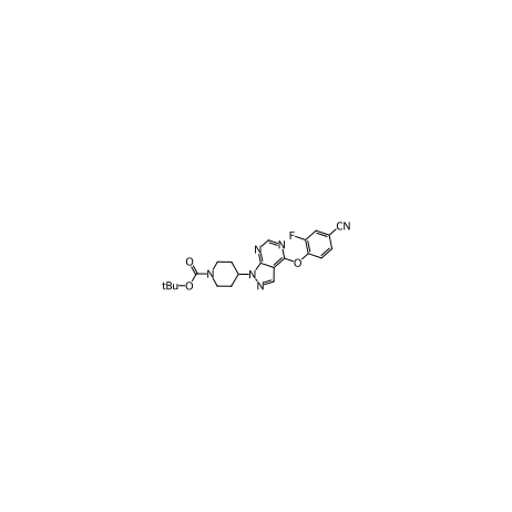 CC(C)(C)OC(=O)N1CCC(n2ncc3c(Oc4ccc(C#N)cc4F)ncnc32)CC1